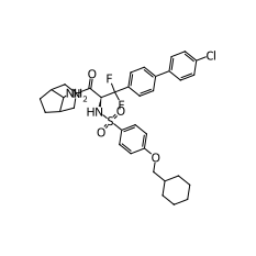 NC1C2CCC1CN(C(=O)[C@H](NS(=O)(=O)c1ccc(OCC3CCCCC3)cc1)C(F)(F)c1ccc(-c3ccc(Cl)cc3)cc1)C2